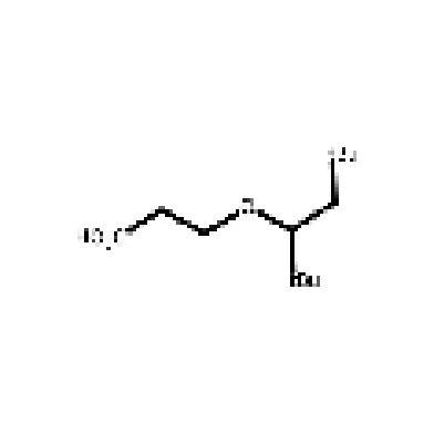 CC(C)(C)CC(OCCC(=O)O)C(C)(C)C